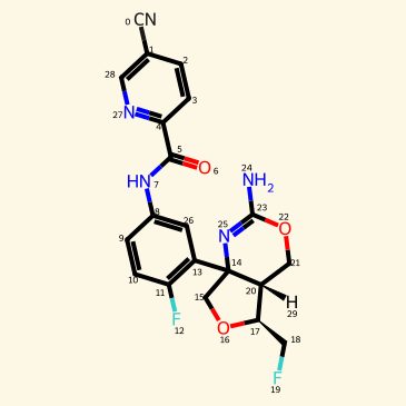 N#Cc1ccc(C(=O)Nc2ccc(F)c(C34CO[C@H](CF)[C@H]3COC(N)=N4)c2)nc1